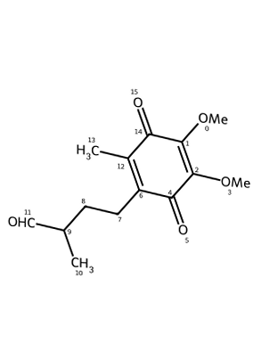 COC1=C(OC)C(=O)C(CCC(C)C=O)=C(C)C1=O